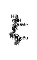 CCCCc1cc(NC(=O)Nc2ccc(Oc3ccnc(Nc4cc(OC)cc(C(=O)NCCO)c4)n3)c3ccccc23)n(-c2ccc(C)cc2)n1